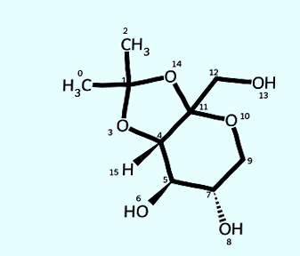 CC1(C)O[C@H]2[C@H](O)[C@@H](O)COC2(CO)O1